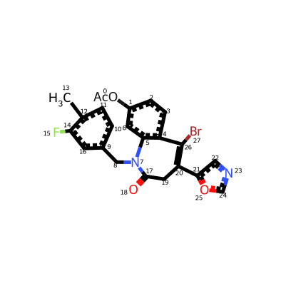 CC(=O)Oc1ccc2c(c1)N(Cc1ccc(C)c(F)c1)C(=O)CC(c1cnco1)=C2Br